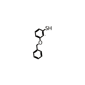 Sc1[c]c(OCc2ccccc2)ccc1